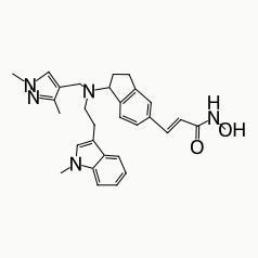 Cc1nn(C)cc1CN(CCc1cn(C)c2ccccc12)C1CCc2cc(C=CC(=O)NO)ccc21